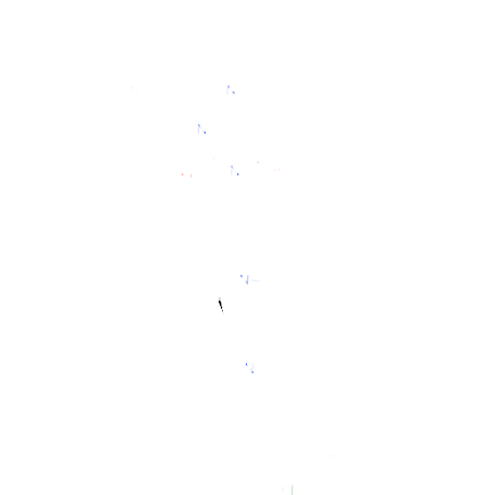 O=C(N[C@H]1CC[C@@H](n2c(=O)c3cc(F)cnc3n(C3CCSCC3)c2=O)CC1)[C@@H]1CCCN(Cc2ccc(Cl)c(Cl)c2)C1